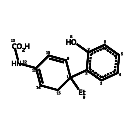 CCC1(c2ccccc2O)C=CC(NC(=O)O)=CC1